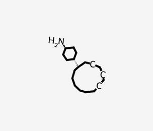 N[C@H]1CC[C@H](C2CCCCCCCCCCCC2)CC1